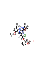 COc1ccc(C)cc1Cn1c(-c2cccc(OCC(C)CC(=O)O)c2Cl)nc2c(OC3(C)CC3)ncnc21